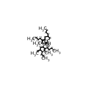 CCCCC(CC)CC(O[PH](=O)OC(CC(CC)CCCC)C(CC)CCCC)C(CC)CCCC